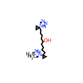 C=CN(/N=N\C)C1(CCCCC(O)CCCCC2(n3cnnn3)CC2)CC1